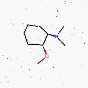 CO[C@H]1CCCC[C@H]1N(C)C